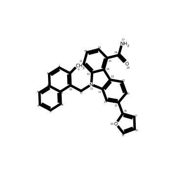 Cc1ccc2ccccc2c1Cn1c2cc(-c3ccco3)c[c]c2c2c(C(N)=O)cccc21